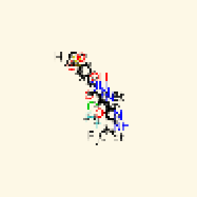 CCC(CC(F)(F)F)Nc1cc(OC(F)F)c(-c2c(Cl)c(C(=O)NC[C@]3(O)CC[C@@H](S(C)(=O)=O)CC3)nn2CC)cn1